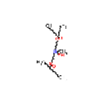 CCCCCCCCC(CCCCC)C(=O)OCCCCCCN(CCCCCCOC(=O)C(CCCCCC)CCCCCCCC)C(CC)CO